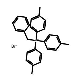 Cc1ccc([P+](Cc2ccccc2)(c2ccc(C)cc2)c2ccc(C)cc2)cc1.[Br-]